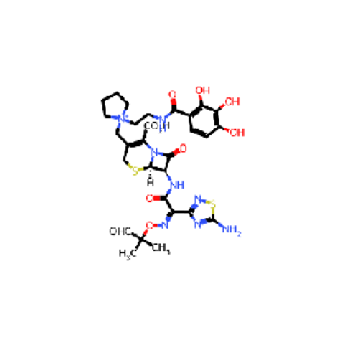 CC(C)(C=O)O/N=C(\C(=O)N[C@@H]1C(=O)N2C(C(=O)O)=C(C[N+]3(CCNC(=O)c4ccc(O)c(O)c4O)CCCC3)CS[C@H]12)c1nsc(N)n1